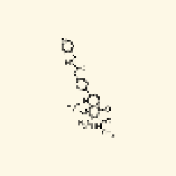 CCn1c(N)c(C(=O)NC)c(=O)c2ccc(-c3ccc(CC(=O)NCc4ccncc4)cc3)nc21